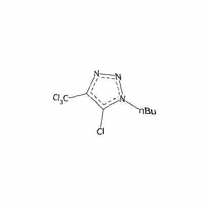 CCCCn1nnc(C(Cl)(Cl)Cl)c1Cl